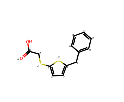 O=C(O)CSc1ccc(Cc2ccccc2)s1